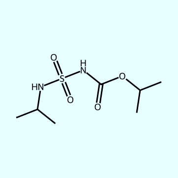 CC(C)NS(=O)(=O)NC(=O)OC(C)C